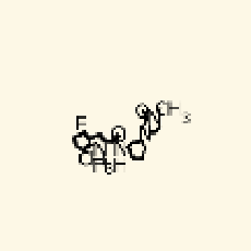 Cc1ccc(F)c2cc(C(=O)N[C@@H]3CCC[C@@H](N4CCN(C)C(=O)C4)C3)[nH]c12